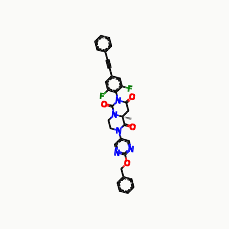 C[C@@]12CC(=O)N(c3c(F)cc(C#Cc4ccccc4)cc3F)C(=O)N1CCN(c1cnc(OCc3ccccc3)nc1)C2=O